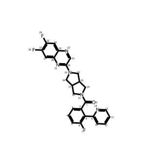 O=C(c1cccc(F)c1-c1ccccn1)N1CC2CN(c3cnc4cc(F)c(F)cc4n3)CC2C1